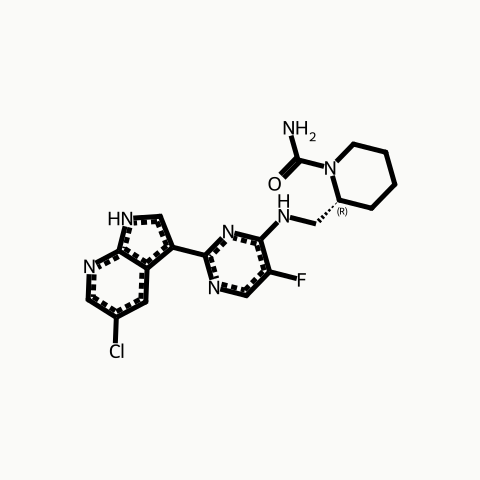 NC(=O)N1CCCC[C@@H]1CNc1nc(-c2c[nH]c3ncc(Cl)cc23)ncc1F